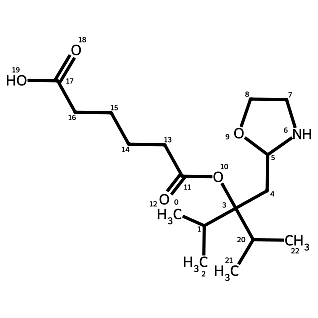 CC(C)C(CC1NCCO1)(OC(=O)CCCCC(=O)O)C(C)C